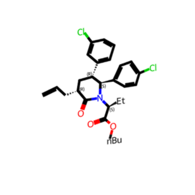 C=CC[C@@H]1C[C@H](c2cccc(Cl)c2)[C@@H](c2ccc(Cl)cc2)N([C@@H](CC)C(=O)OCCCC)C1=O